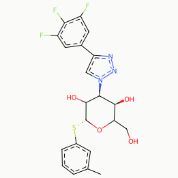 Cc1cccc(S[C@H]2OC(CO)[C@H](O)[C@H](n3cc(-c4cc(F)c(F)c(F)c4)nn3)C2O)c1